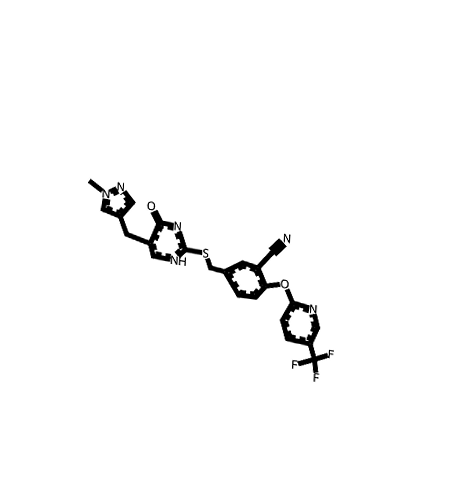 Cn1cc(Cc2c[nH]c(SCc3ccc(Oc4ccc(C(F)(F)F)cn4)c(C#N)c3)nc2=O)cn1